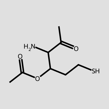 CC(=O)OC(CCS)C(N)C(C)=O